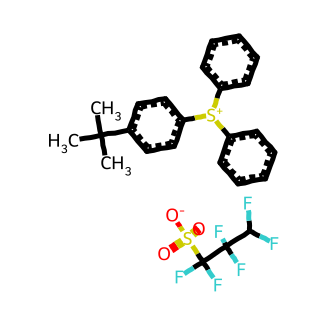 CC(C)(C)c1ccc([S+](c2ccccc2)c2ccccc2)cc1.O=S(=O)([O-])C(F)(F)C(F)(F)C(F)F